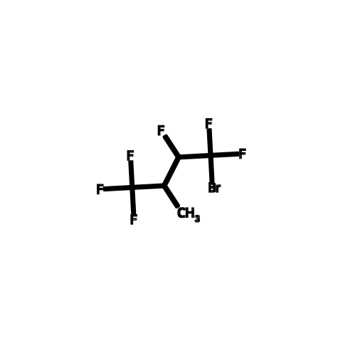 CC(C(F)C(F)(F)Br)C(F)(F)F